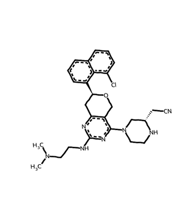 CN(C)CCNc1nc2c(c(N3CCN[C@@H](CC#N)C3)n1)CO[C@H](c1cccc3cccc(Cl)c13)C2